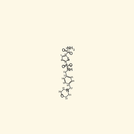 NS(=O)(=O)c1ccc(S(=O)(=O)NCc2ccc(CN3CCOCC3)cc2)s1